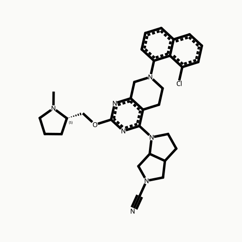 CN1CCC[C@H]1COc1nc2c(c(N3CCC4CN(C#N)CC43)n1)CCN(c1cccc3cccc(Cl)c13)C2